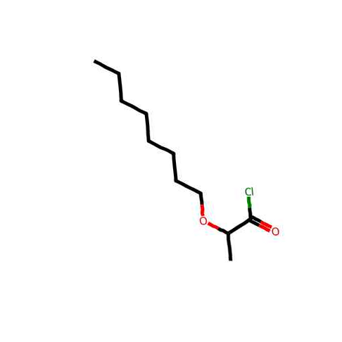 CCCCCCCCOC(C)C(=O)Cl